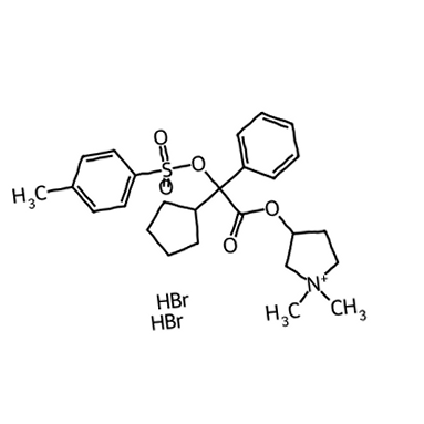 Br.Br.Cc1ccc(S(=O)(=O)OC(C(=O)OC2CC[N+](C)(C)C2)(c2ccccc2)C2CCCC2)cc1